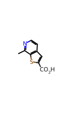 Cc1nccc2cc(C(=O)O)sc12